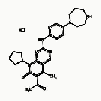 CC(=O)c1c(C)c2cnc(Nc3ccc(N4CCCNCC4)cn3)nc2n(C2CCCC2)c1=O.Cl